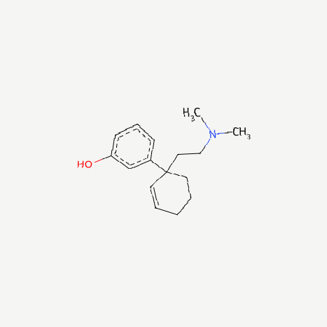 CN(C)CCC1(c2cccc(O)c2)C=CCCC1